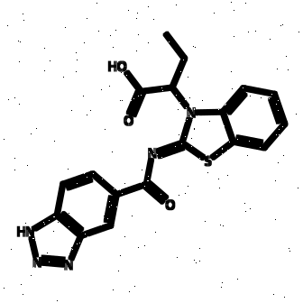 CCC(C(=O)O)n1c(=NC(=O)c2ccc3[nH]nnc3c2)sc2ccccc21